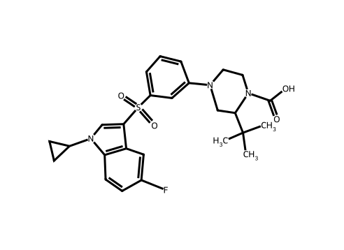 CC(C)(C)C1CN(c2cccc(S(=O)(=O)c3cn(C4CC4)c4ccc(F)cc34)c2)CCN1C(=O)O